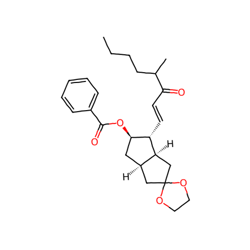 CCCCC(C)C(=O)/C=C/[C@@H]1[C@H]2CC3(C[C@H]2C[C@H]1OC(=O)c1ccccc1)OCCO3